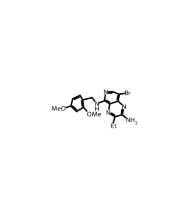 CCc1nc2c(NCc3ccc(OC)cc3OC)ncc(Br)c2nc1N